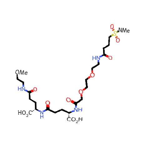 CNS(=O)(=O)CCCC(=O)NCCOCCOCC(=O)N[C@@H](CCC(=O)N[C@@H](CCC(=O)NCCOC)C(=O)O)C(=O)O